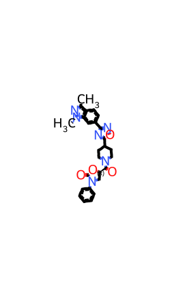 Cc1nn(C)c2cc(-c3noc(C4CCN(C(=O)[C@H]5CN(c6ccccc6)C(=O)O5)CC4)n3)ccc12